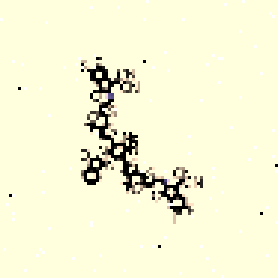 CC1(C)Oc2cc(/C=C3\C(=O)c4cc(F)c(F)cc4C3=C(C#N)C#N)sc2-c2sc(-c3c4nsnc4c(-c4cc5c(s4)-c4sc(/C=C6\C(=O)c7cc(F)c(F)cc7C6=C(C#N)C#N)cc4OC5(C)C)c4nc5c(nc34)C(=O)c3ccccc3-5)cc21